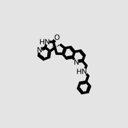 O=C1Nc2ncccc2[C@@]12Cc1cc3ccc(CNCc4ccccc4)nc3cc1C2